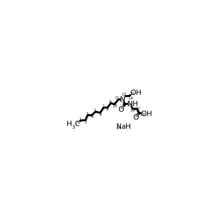 CCCCCCCCCCCCN(CCO)C(=O)NCCC(=O)O.[NaH]